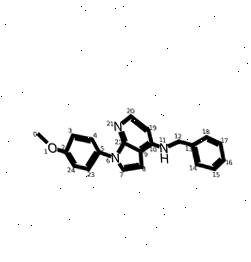 COc1ccc(-n2ccc3c(NCc4ccccc4)[c]cnc32)cc1